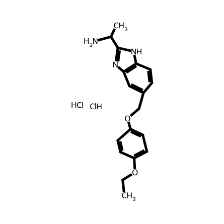 CCOc1ccc(OCc2ccc3[nH]c(C(C)N)nc3c2)cc1.Cl.Cl